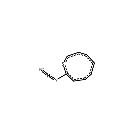 [N-]=[N+]=Nc1cccccccs1